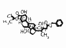 CC(Cl)OC(=O)[C@@]1(O)CC[C@@]2(C)[C@H](C[C@@H](O)[C@@H]3[C@@H]2C[C@H](O)[C@]2(C)[C@@H]([C@H](C)CCC(=O)OCc4ccccc4)CC[C@@H]32)C1